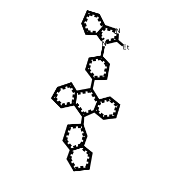 CCc1nc2ccccc2n1-c1ccc(-c2c3ccccc3c(-c3ccc4ccccc4c3)c3ccccc23)cc1